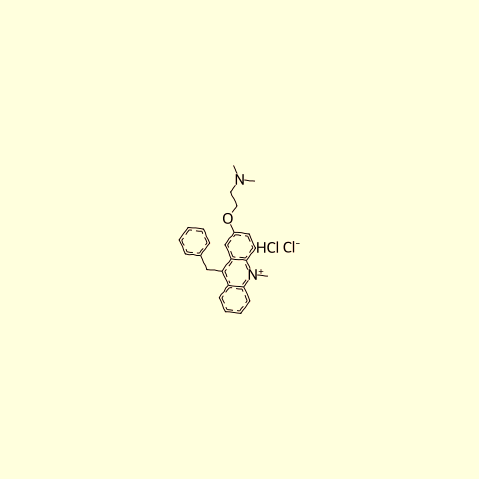 CN(C)CCOc1ccc2c(c1)c(Cc1ccccc1)c1ccccc1[n+]2C.Cl.[Cl-]